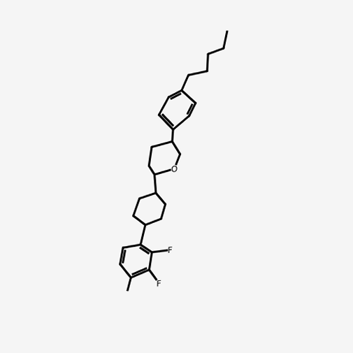 CCCCCc1ccc(C2CCC(C3CCC(c4ccc(C)c(F)c4F)CC3)OC2)cc1